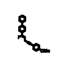 COc1ccc(C#CCC=C(F)c2ccc(-c3ccccc3)cc2)cc1